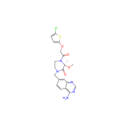 CO[C@@]1(C)C(=O)N(Cc2ccc3c(N)ncnc3c2)CCN1C(=O)COc1ccc(Cl)s1